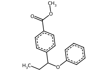 CCC(Oc1ccccc1)c1ccc(C(=O)OC)cc1